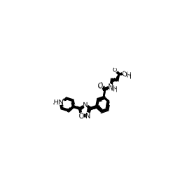 O=C(O)CCNC(=O)c1cccc(-c2noc(C3CCNCC3)n2)c1